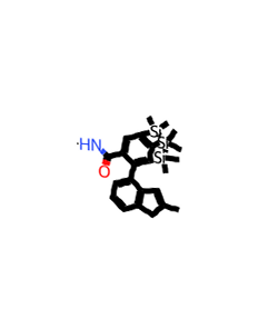 CC1=Cc2c(cccc2-c2c(C([NH])=O)cc3c(C)c2[Si](C)(C)[Si](C)(C)[Si]3(C)C)C1